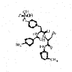 Cc1cccc(NC(=O)C(CC(C)C)NC(=O)C(Cc2ccc(OP(=O)(O)O)cc2)NC(=O)c2ccc(C#N)cc2)c1